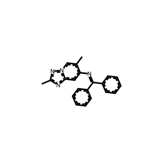 Cc1nc2cc(N=C(c3ccccc3)c3ccccc3)c(C)cn2n1